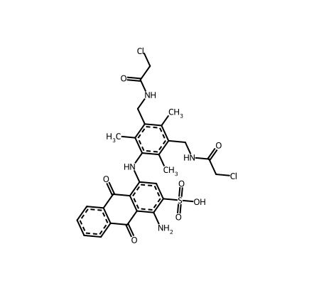 Cc1c(CNC(=O)CCl)c(C)c(Nc2cc(S(=O)(=O)O)c(N)c3c2C(=O)c2ccccc2C3=O)c(C)c1CNC(=O)CCl